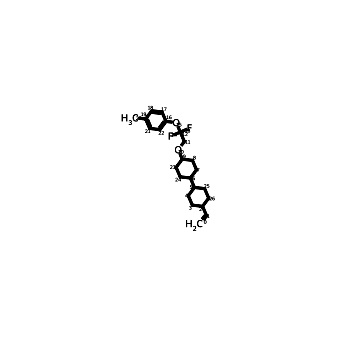 C=CC1CCC(C2CCC(OCC(F)(F)Oc3ccc(C)cc3)CC2)CC1